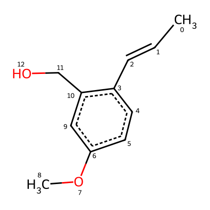 C/C=C/c1ccc(OC)cc1CO